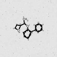 CC(Oc1ccccc1-c1ccccc1)C1CCO1